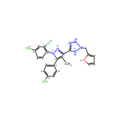 Cc1c(C2=NNN(Cc3ccco3)N2)nn(-c2ccc(Cl)cc2Cl)c1-c1ccc(Cl)cc1